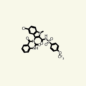 Cn1c(C(=O)NS(=O)(=O)c2ccc(OC(F)(F)F)cc2)c(-n2c(=O)[nH]c3ccccc3c2=O)c2cc(Cl)ccc21